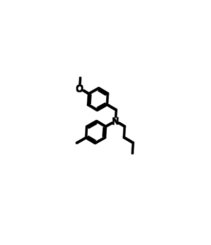 CCCCN(Cc1ccc(OC)cc1)c1ccc(C)cc1